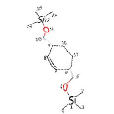 C[Si](C)(C)OC[C@@H]1C=C[C@H](CO[Si](C)(C)C)CC1